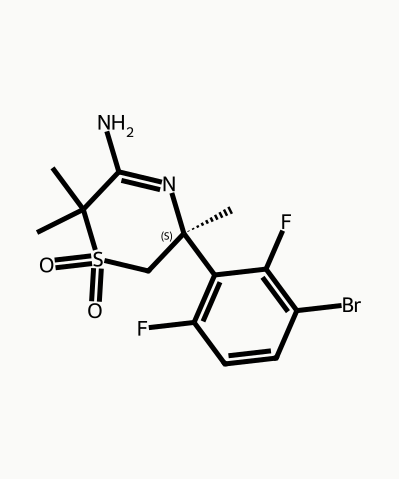 CC1(C)C(N)=N[C@@](C)(c2c(F)ccc(Br)c2F)CS1(=O)=O